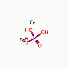 O=P(O)(O)O.[Fe].[Fe]